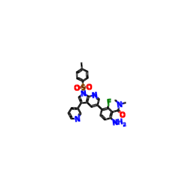 Cc1ccc(S(=O)(=O)n2cc(-c3cccnc3)c3cc(-c4ccc(N)c(C(=O)N(C)C)c4F)cnc32)cc1